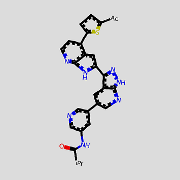 CC(=O)c1ccc(-c2ccnc3[nH]c(-c4n[nH]c5ncc(-c6cncc(NC(=O)C(C)C)c6)cc45)cc23)s1